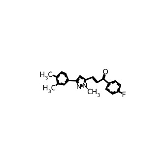 Cc1ccc(-c2cc(/C=C/C(=O)c3ccc(F)cc3)n(C)n2)cc1C